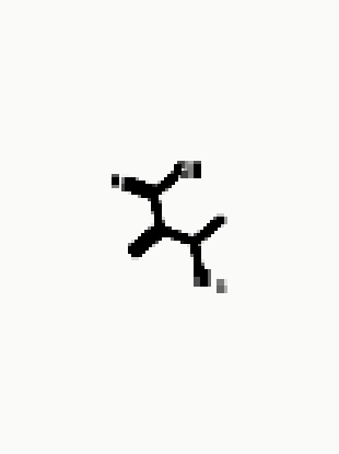 C=C(C(=O)O)C(C)N